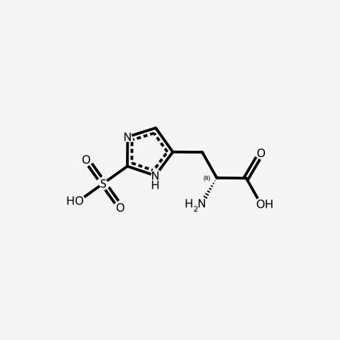 N[C@H](Cc1cnc(S(=O)(=O)O)[nH]1)C(=O)O